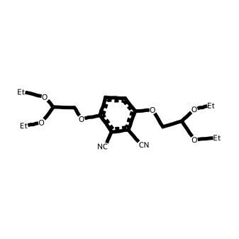 CCOC(COc1ccc(OCC(OCC)OCC)c(C#N)c1C#N)OCC